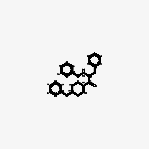 O=C(C(Cc1ccccc1)NCc1cccnc1)N1CCN(Cc2ccccc2)CC1